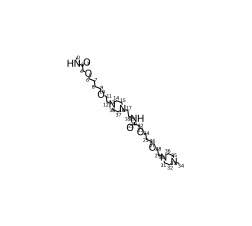 CNC(=O)COCCCCOCCN1CCN(CCNC(=O)COCCCOCCN2CCN(C)CC2)CC1